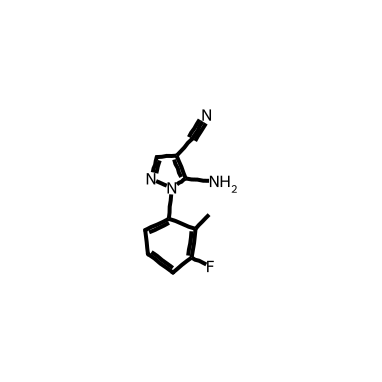 Cc1c(F)cccc1-n1ncc(C#N)c1N